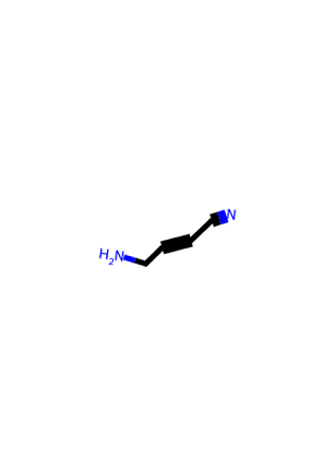 N#CC#CCN